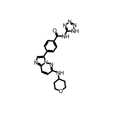 O=C(Nc1nnn[nH]1)c1ccc(-c2cnc3ccc(NC4CCOCC4)nn23)cc1